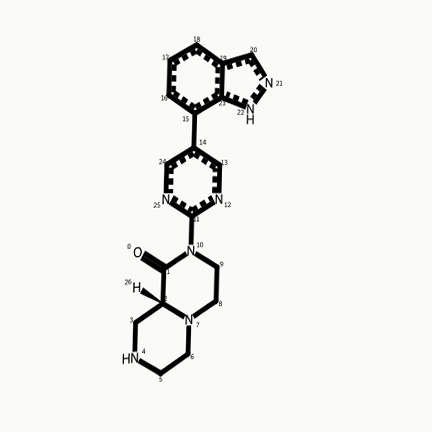 O=C1[C@H]2CNCCN2CCN1c1ncc(-c2cccc3cn[nH]c23)cn1